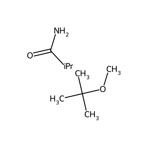 CC(C)C(N)=O.COC(C)(C)C